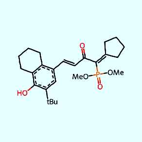 COP(=O)(OC)C(C(=O)C=Cc1cc(C(C)(C)C)c(O)c2c1CCCC2)=C1CCCC1